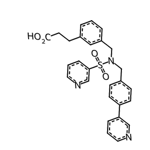 O=C(O)CCc1cccc(CN(Cc2ccc(-c3cccnc3)cc2)S(=O)(=O)c2cccnc2)c1